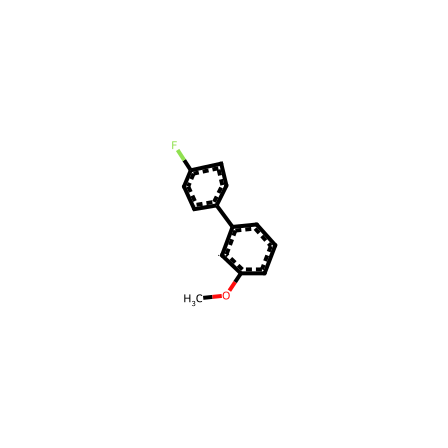 COc1[c]c(-c2ccc(F)cc2)ccc1